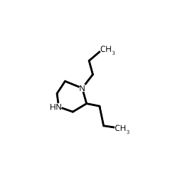 CCCC1CNCCN1CCC